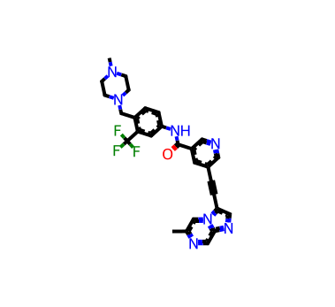 Cc1cn2c(C#Cc3cncc(C(=O)Nc4ccc(CN5CCN(C)CC5)c(C(F)(F)F)c4)c3)cnc2cn1